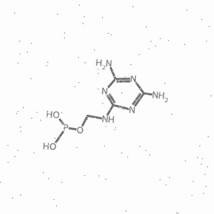 Nc1nc(N)nc(NCOP(O)O)n1